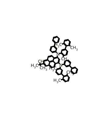 Cc1ccc(-c2c(C)cccc2C)cc1N(c1cccc(-c2ccccc2)c1)c1cc(N(c2cccc(-c3ccccc3)c2)c2cc(-c3c(C)cccc3C)ccc2C)c2ccc3cc(C(C)(C)C)cc4ccc1c2c43